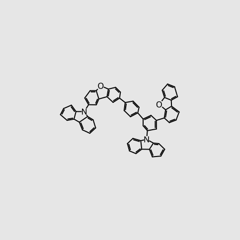 c1ccc2c(c1)oc1c(-c3cc(-c4ccc(-c5ccc6oc7ccc(-n8c9ccccc9c9ccccc98)cc7c6c5)cc4)cc(-n4c5ccccc5c5ccccc54)c3)cccc12